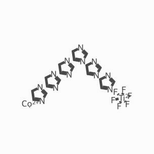 C1=NC=NC1.C1=NC=NC1.C1=NC=NC1.C1=NC=NC1.C1=NC=NC1.C1=NC=NC1.[Co+2].[F][Ti-2]([F])([F])([F])([F])[F]